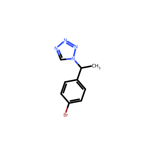 CC(c1ccc(Br)cc1)n1cnnn1